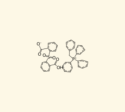 O=C([O-])c1ccccc1S(=O)(=O)c1ccccc1C(=O)O.c1ccc(C[P+](c2ccccc2)(c2ccccc2)c2ccccc2)cc1